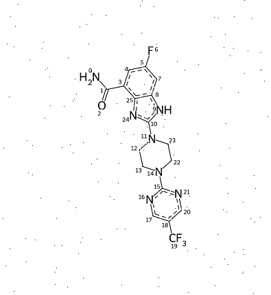 NC(=O)c1cc(F)cc2[nH]c(N3CCN(c4ncc(C(F)(F)F)cn4)CC3)nc12